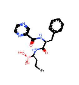 CC(C)CC[C@H](NC(=O)[C@H](Cc1ccccc1)NC(=O)c1cnccn1)B(O)O